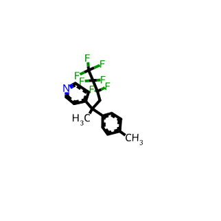 Cc1ccc(C(C)(CC(F)(F)C(F)(F)C(F)(F)F)c2ccncc2)cc1